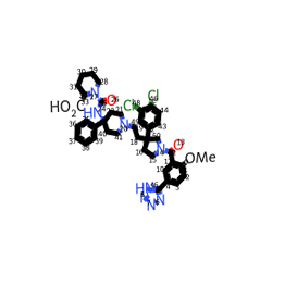 COc1ccc(-c2nnn[nH]2)cc1C(=O)N1CCC(CCN2CCC(NC(=O)N3CCCCC3C(=O)O)(c3ccccc3)CC2)(c2ccc(Cl)c(Cl)c2)C1